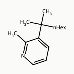 CCCCCCC(C)(C)c1cccnc1C